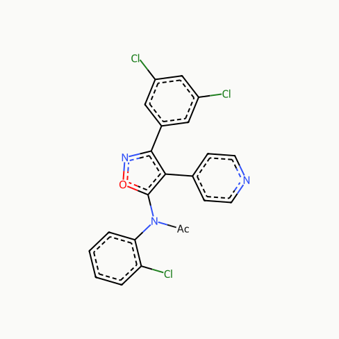 CC(=O)N(c1ccccc1Cl)c1onc(-c2cc(Cl)cc(Cl)c2)c1-c1ccncc1